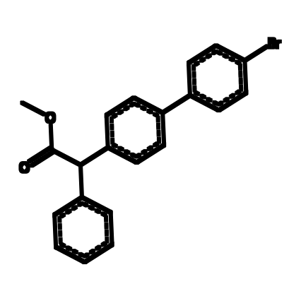 COC(=O)C(c1ccccc1)c1ccc(-c2ccc(Br)cc2)cc1